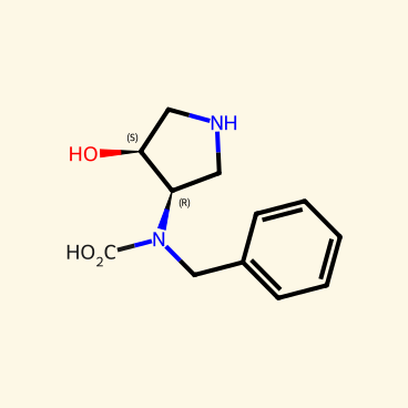 O=C(O)N(Cc1ccccc1)[C@@H]1CNC[C@@H]1O